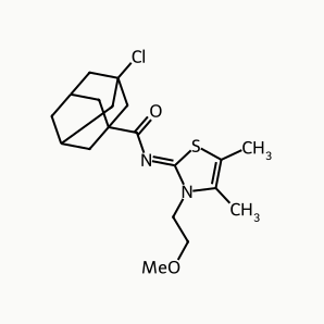 COCCn1c(C)c(C)sc1=NC(=O)C12CC3CC(CC(Cl)(C3)C1)C2